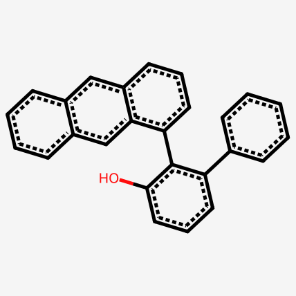 Oc1cccc(-c2ccccc2)c1-c1cccc2cc3ccccc3cc12